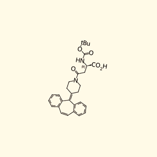 CC(C)(C)OC(=O)N[C@H](CC(=O)N1CCC(=C2c3ccccc3C=Cc3ccccc32)CC1)C(=O)O